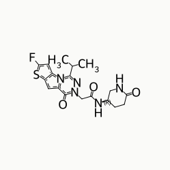 CC(C)c1nn(CC(=O)N[C@@H]2CCC(=O)NC2)c(=O)c2cc3sc(F)cc3n12